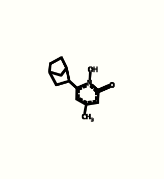 Cc1cc(C2CC3CCC2C3)n(O)c(=O)c1